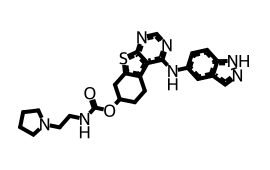 O=C(NCCN1CCCC1)OC1CCc2c(sc3ncnc(Nc4ccc5[nH]ncc5c4)c23)C1